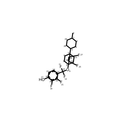 CC1CCC(C23CCC(OC(F)(F)c4ccc(O)c(F)c4F)(CC2)C(F)=C3F)CC1